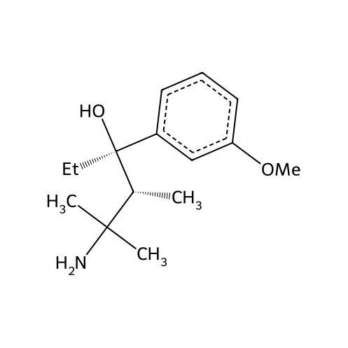 CC[C@](O)(c1cccc(OC)c1)[C@H](C)C(C)(C)N